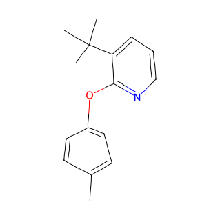 Cc1ccc(Oc2ncccc2C(C)(C)C)cc1